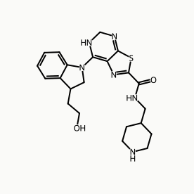 O=C(NCC1CCNCC1)c1nc2c(s1)=NCNC=2N1CC(CCO)c2ccccc21